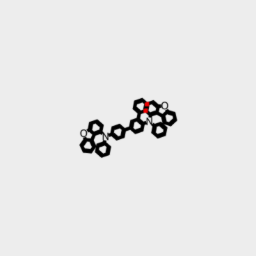 c1ccc(-c2cc(-c3ccc(N(c4ccccc4)c4cccc5oc6ccccc6c45)cc3)ccc2N(c2ccccc2)c2cccc3oc4ccccc4c23)cc1